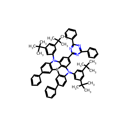 CC(C)(C)c1cc(N2c3ccc(-c4ccccc4)cc3B3c4cc(-c5ccccc5)ccc4N(c4cc(C(C)(C)C)cc(C(C)(C)C)c4)c4cc(-c5nc(-c6ccccc6)nc(-c6ccccc6)n5)cc2c43)cc(C(C)(C)C)c1